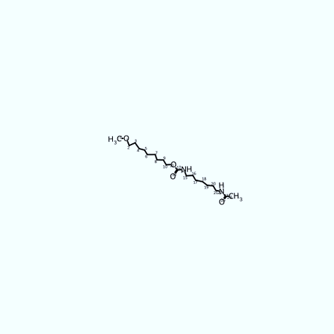 COCCCCCCCCCOC(=O)NCCCCCCCNC(C)=O